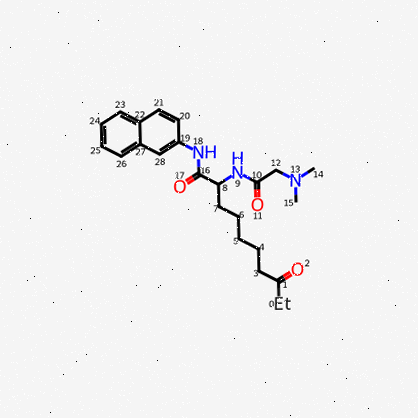 CCC(=O)CCCCCC(NC(=O)CN(C)C)C(=O)Nc1ccc2ccccc2c1